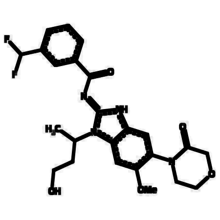 COc1cc2c(cc1N1CCOCC1=O)[nH]c(=NC(=O)c1cccc(C(F)F)c1)n2C(C)CCO